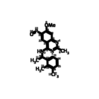 COc1cc2nc(C)nc(NC(C)c3cccc(C(F)(F)F)c3C)c2cc1P=O